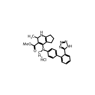 COC(=O)C1=C(N(C)c2ccc(-c3ccccc3-c3nnn[nH]3)cc2)C2=C(CCC2)NC1C.Cl